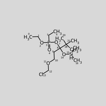 CCOP(=O)(CC)OC(CCOCCl)(O[SiH](C)C)C(C)(C)C